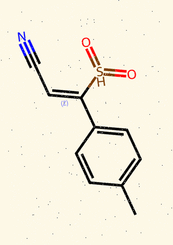 Cc1ccc(/C(=C/C#N)[SH](=O)=O)cc1